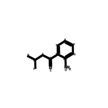 C[C](C)CC(=O)c1ccccc1N